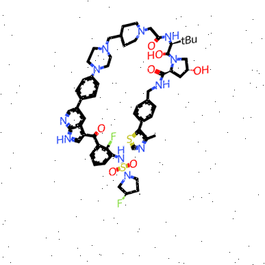 Cc1ncsc1-c1ccc(CNC(=O)[C@@H]2C[C@@H](O)CN2C(O)[C@@H](NC(=O)CN2CCC(CN3CCN(c4ccc(-c5cnc6[nH]cc(C(=O)c7cccc(NS(=O)(=O)N8CC[C@@H](F)C8)c7F)c6c5)cc4)CC3)CC2)C(C)(C)C)cc1